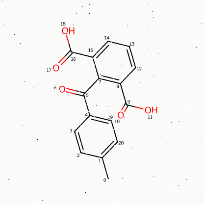 Cc1ccc(C(=O)c2c(C(=O)O)cccc2C(=O)O)cc1